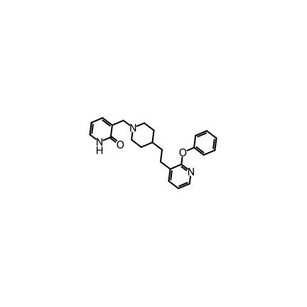 O=c1[nH]cccc1CN1CCC(CCc2cccnc2Oc2ccccc2)CC1